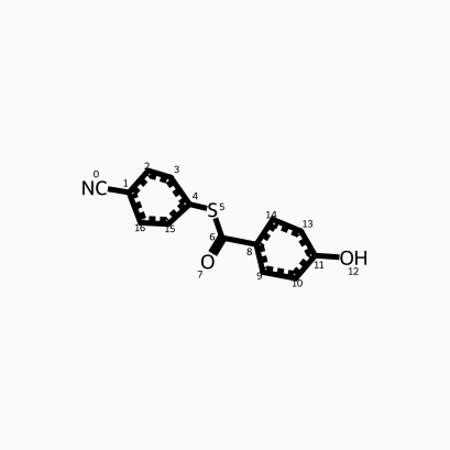 N#Cc1ccc(SC(=O)c2ccc(O)cc2)cc1